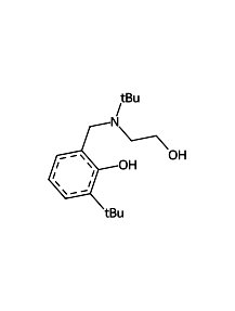 CC(C)(C)c1cccc(CN(CCO)C(C)(C)C)c1O